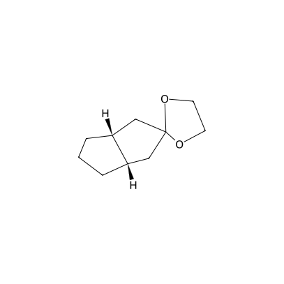 C1C[C@@H]2CC3(C[C@@H]2C1)OCCO3